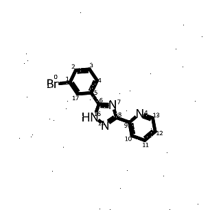 Brc1cccc(-c2nc(-c3ccccn3)n[nH]2)c1